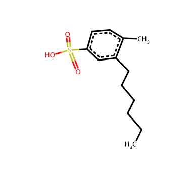 CCCCCCc1cc(S(=O)(=O)O)ccc1C